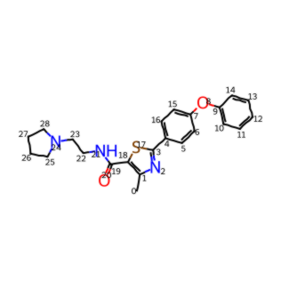 Cc1nc(-c2ccc(Oc3ccccc3)cc2)sc1C(=O)NCCN1CCCC1